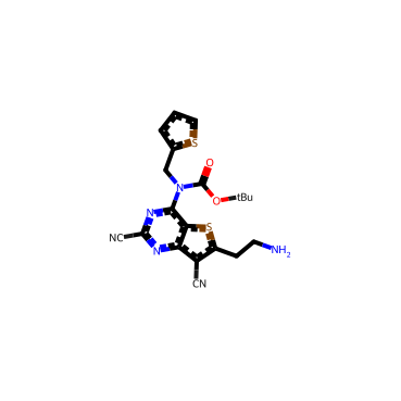 CC(C)(C)OC(=O)N(Cc1cccs1)c1nc(C#N)nc2c(C#N)c(CCN)sc12